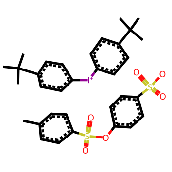 CC(C)(C)c1ccc([I+]c2ccc(C(C)(C)C)cc2)cc1.Cc1ccc(S(=O)(=O)Oc2ccc(S(=O)(=O)[O-])cc2)cc1